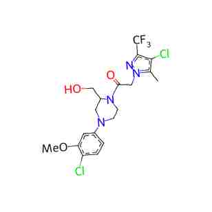 COc1cc(N2CCN(C(=O)Cn3nc(C(F)(F)F)c(Cl)c3C)C(CO)C2)ccc1Cl